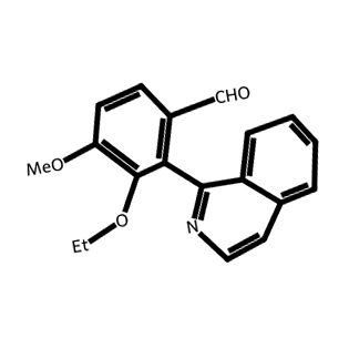 CCOc1c(OC)ccc(C=O)c1-c1nccc2ccccc12